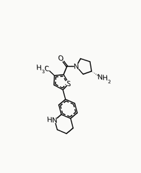 Cc1cc(-c2ccc3c(c2)NCCC3)sc1C(=O)N1CC[C@H](N)C1